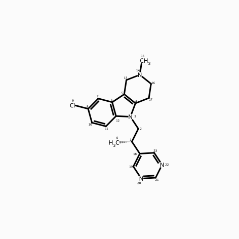 C[C@H](Cn1c2c(c3cc(Cl)ccc31)CN(C)CC2)c1cncnc1